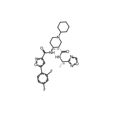 C[C@H](NC(=O)[C@H]1CN(C2CCCCC2)CC[C@@H]1NC(=O)c1cc(-c2ccc(F)cc2F)on1)c1ncon1